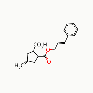 C=C1C[C@H](C(=O)OC/C=C/c2ccccc2)[C@H](C(=O)O)C1